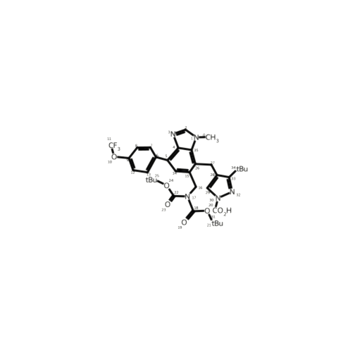 Cn1cnc2c(-c3ccc(OC(F)(F)F)cc3)cc(CN(C(=O)OC(C)(C)C)C(=O)OC(C)(C)C)c(Cc3cn(C(=O)O)nc3C(C)(C)C)c21